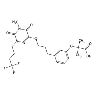 Cn1c(=O)c(OCCCc2cccc(OC(C)(C)C(=O)O)c2)nn(CCCC(F)(F)F)c1=O